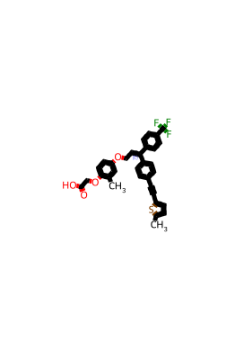 Cc1ccc(C#Cc2ccc(/C(=C\COc3ccc(OCC(=O)O)c(C)c3)c3ccc(C(F)(F)F)cc3)cc2)s1